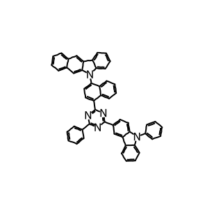 c1ccc(-c2nc(-c3ccc4c(c3)c3ccccc3n4-c3ccccc3)nc(-c3ccc(-n4c5ccccc5c5cc6ccccc6cc54)c4ccccc34)n2)cc1